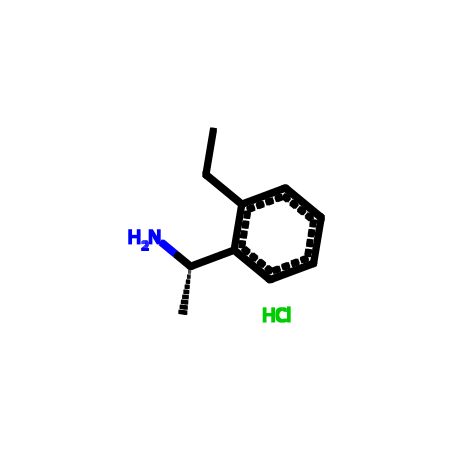 CCc1ccccc1[C@H](C)N.Cl